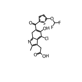 CC1=C(CC(=O)O)C2=C(Cl)C(O)=C(C(=O)c3ccc(OC(F)F)s3)CC2=N1